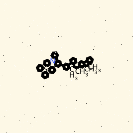 C/C(=C/c1ccccc1-c1cc(-c2ccc3c(c2)c2ccccc2n3-c2cccc([Si](c3ccccc3)(c3ccccc3)c3ccccc3)c2)ccc1C)c1ccc2c(c1)C(C)(C)c1ccccc1-2